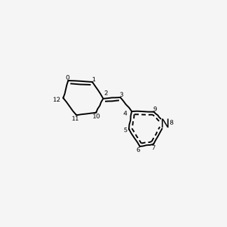 C1=CC(=Cc2cccnc2)CCC1